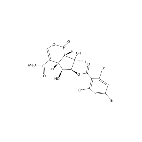 COC(=O)C1=COC(=O)[C@H]2[C@@H]1[C@H](O)[C@H](OC(=O)c1c(Br)cc(Br)cc1Br)[C@]2(C)O